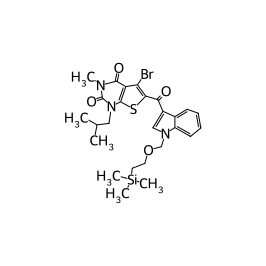 CC(C)Cn1c(=O)n(C)c(=O)c2c(Br)c(C(=O)c3cn(COCC[Si](C)(C)C)c4ccccc34)sc21